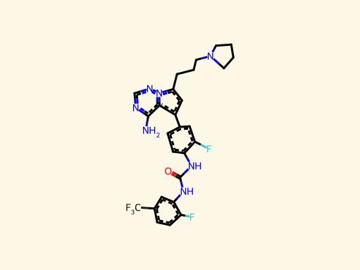 Nc1ncnn2c(CCCN3CCCC3)cc(-c3ccc(NC(=O)Nc4cc(C(F)(F)F)ccc4F)c(F)c3)c12